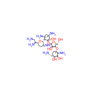 NC[C@@H]1C[C@H](O[C@H]2[C@@H](O)[C@H](O[C@@H]3[C@@H](O)[C@H](N)C[C@H](N)[C@H]3C3OC([C@@H](N)CN)CC[C@H]3N)O[C@@H]2CO)[C@H](N)[C@@H](O)[C@@H]1O